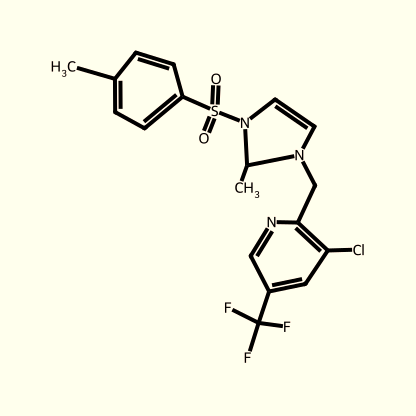 Cc1ccc(S(=O)(=O)N2C=CN(Cc3ncc(C(F)(F)F)cc3Cl)C2C)cc1